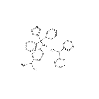 CB(c1ccccc1)c1ccccc1.CC(C)c1ccc([SiH2]C(c2ccccc2)(c2ccccc2)n2ccnc2)cc1